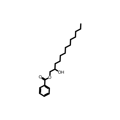 CCCCCCCCCCCC(O)COC(=O)c1ccccc1